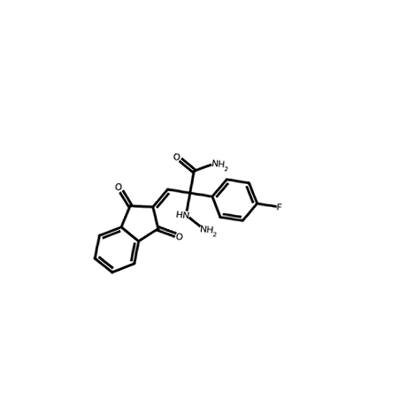 NNC(C=C1C(=O)c2ccccc2C1=O)(C(N)=O)c1ccc(F)cc1